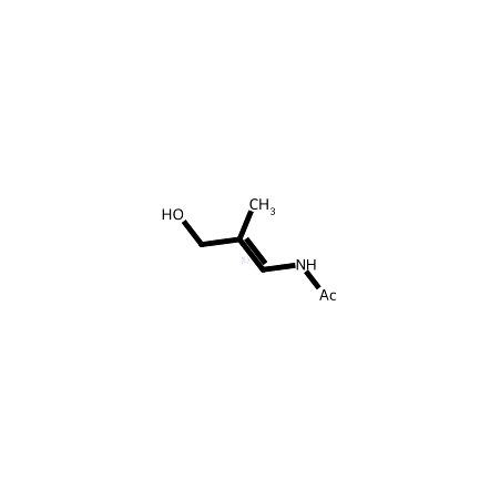 CC(=O)N/C=C(\C)CO